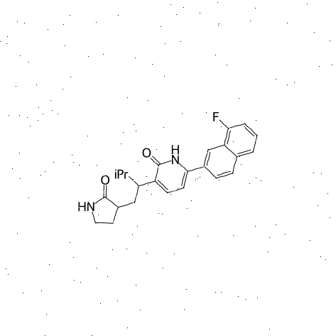 CC(C)C(CC1CCNC1=O)c1ccc(-c2ccc3cccc(F)c3c2)[nH]c1=O